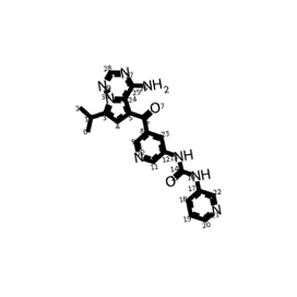 CC(C)c1cc(C(=O)c2cncc(NC(=O)Nc3cccnc3)c2)c2c(N)ncnn12